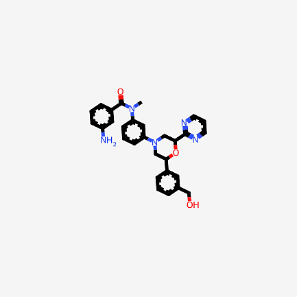 CN(C(=O)c1cccc(N)c1)c1cccc(N2CC(c3cccc(CO)c3)OC(c3ncccn3)C2)c1